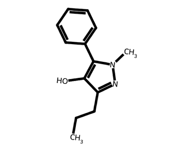 CCCc1nn(C)c(-c2ccccc2)c1O